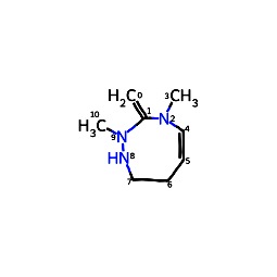 C=C1N(C)/C=C\CCNN1C